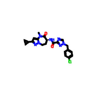 CN1C(=O)[C@H](NC(=O)c2ncn(Cc3ccc(Cl)cc3)n2)CCn2nc(C3CC3)cc21